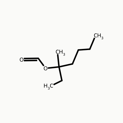 CCCCC(C)(CC)OC=O